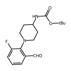 CC(C)(C)OC(=O)NC1CCN(c2c(F)cccc2C=O)CC1